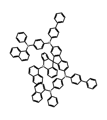 c1ccc(-c2ccc(N(c3ccc(N(c4ccccc4)c4cccc5ccccc45)cc3)c3ccc4c(c3)C3(c5cc(N(c6ccc(-c7ccccc7)cc6)c6ccc(N(c7ccccc7)c7cccc8ccccc78)cc6)ccc5-4)c4ccccc4N(c4cccc5ccccc45)c4ccccc43)cc2)cc1